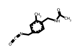 CC(=O)NCc1ccc(CN=C=O)cc1C